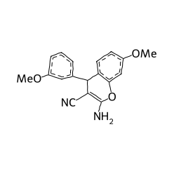 COc1cccc(C2C(C#N)=C(N)Oc3cc(OC)ccc32)c1